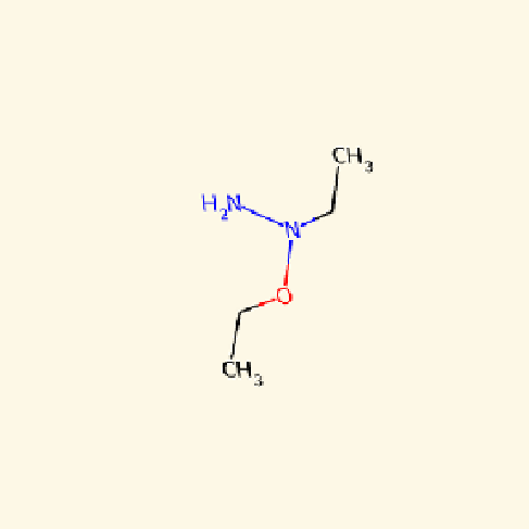 CCON(N)CC